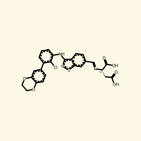 O=C(O)C[C@H](N=Cc1ccc2c(Nc3cccc(-c4ccc5c(c4)OCCO5)c3Cl)nsc2c1)C(=O)O